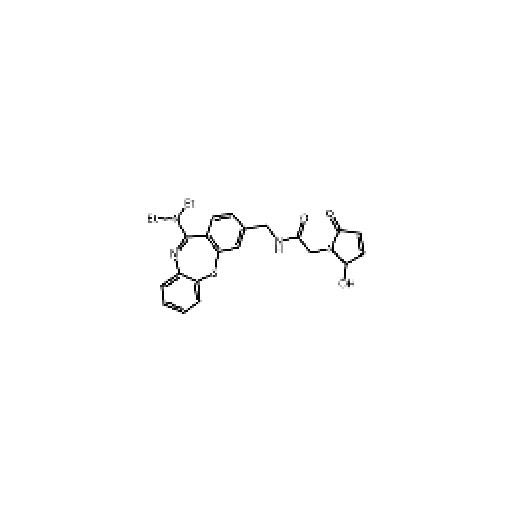 CCN(CC)C1=Nc2ccccc2Sc2cc(CNC(=O)CN3C(=O)C=CC3O)ccc21